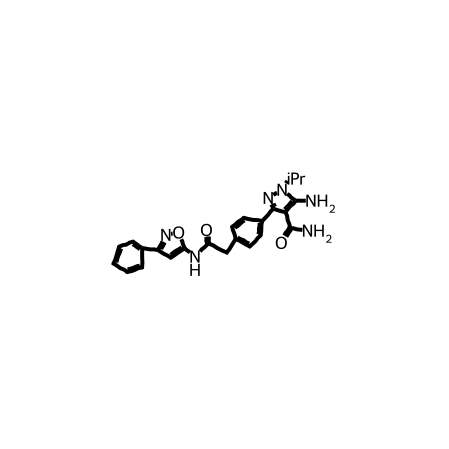 CC(C)n1nc(-c2ccc(CC(=O)Nc3cc(-c4ccccc4)no3)cc2)c(C(N)=O)c1N